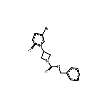 O=C(OCc1ccccc1)N1CC(n2cc(Br)ccc2=O)C1